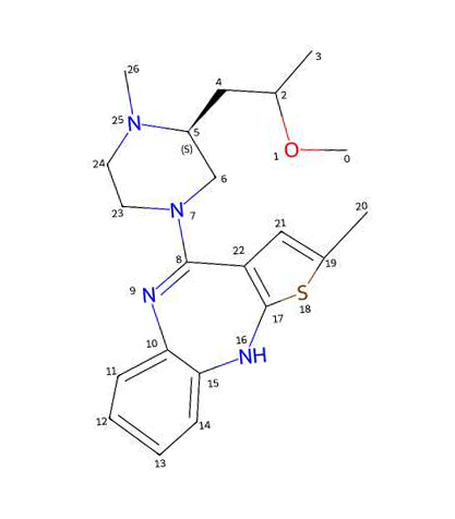 COC(C)C[C@H]1CN(C2=Nc3ccccc3Nc3sc(C)cc32)CCN1C